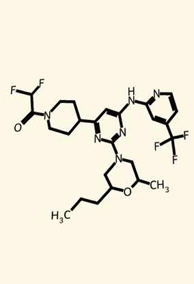 CCCC1CN(c2nc(Nc3cc(C(F)(F)F)ccn3)cc(C3CCN(C(=O)C(F)F)CC3)n2)CC(C)O1